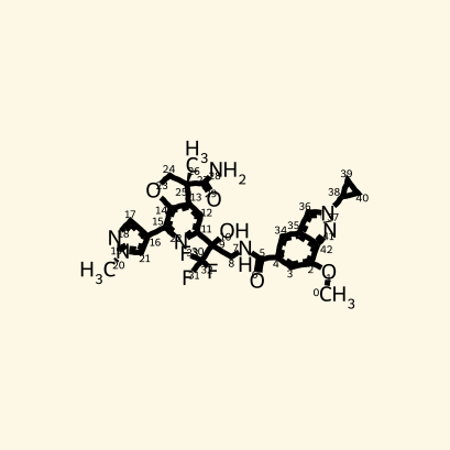 COc1cc(C(=O)NCC(O)(c2cc3c(c(-c4cnn(C)c4)n2)OC[C@]3(C)C(N)=O)C(F)(F)F)cc2cn(C3CC3)nc12